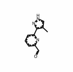 Cc1c[nH]nc1-c1cccc(C=O)n1